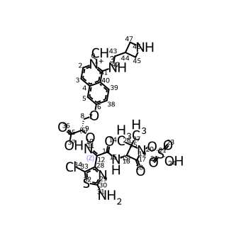 C[n+]1ccc2cc(OC[C@H](O/N=C(\C(=O)N[C@@H]3C(=O)N(OS(=O)(=O)O)C3(C)C)c3nc(N)sc3Cl)C(=O)O)ccc2c1NCC1CNC1